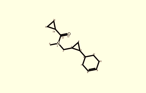 CN(CC1CC1C1CC=CCC1)C(=O)C1CC1